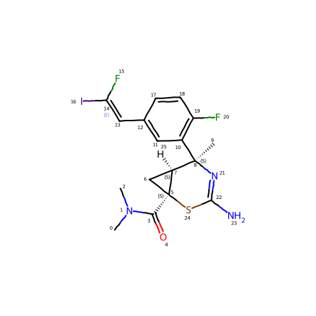 CN(C)C(=O)[C@]12C[C@H]1[C@@](C)(c1cc(/C=C(\F)I)ccc1F)N=C(N)S2